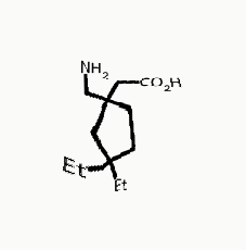 CCC1(CC)CCC(CN)(CC(=O)O)C1